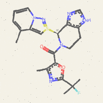 CC1=CC=CN2N=S([C@H]3c4nc[nH]c4CCN3C(=O)c3oc(C(C)(C)F)nc3C)C=C12